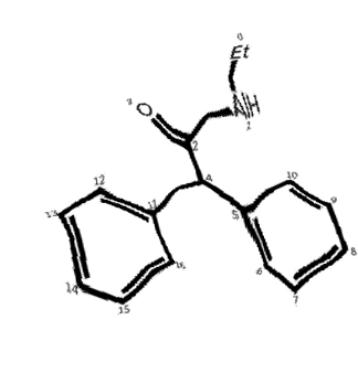 C[CH2][AlH][C](=O)C(c1ccccc1)c1ccccc1